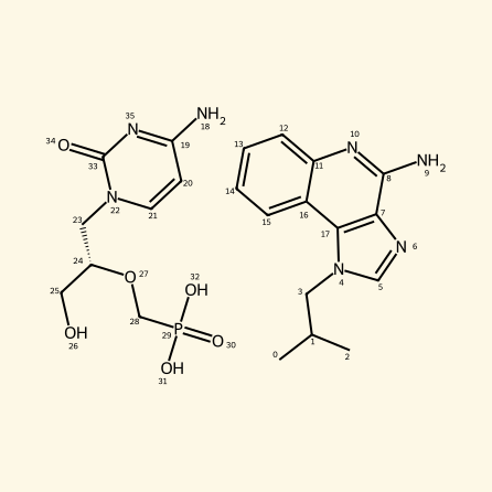 CC(C)Cn1cnc2c(N)nc3ccccc3c21.Nc1ccn(C[C@@H](CO)OCP(=O)(O)O)c(=O)n1